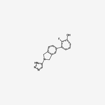 Oc1cccc(-c2ccc3c(c2)CN(c2cnn[nH]2)C3)c1F